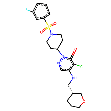 O=c1c(Cl)c(NC[C@H]2CCCOC2)cnn1C1CCN(S(=O)(=O)c2cccc(F)c2)CC1